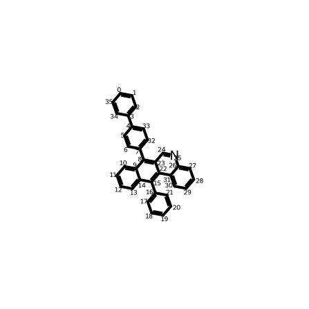 c1ccc(-c2ccc(-c3c4ccccc4c(-c4ccccc4)c4c3cnc3ccccc34)cc2)cc1